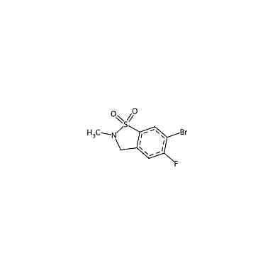 CN1Cc2cc(F)c(Br)cc2S1(=O)=O